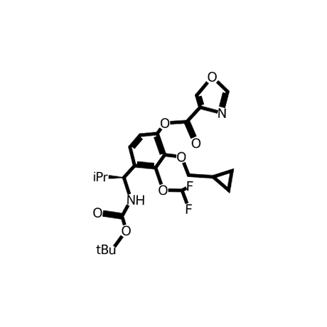 CC(C)[C@H](NC(=O)OC(C)(C)C)c1ccc(OC(=O)c2cocn2)c(OCC2CC2)c1OC(F)F